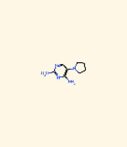 Nc1ncc(N2CCCC2)c(N)n1